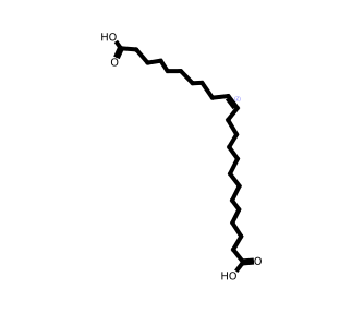 O=C(O)CCCCCCCC/C=C\CCCCCCCCCCCC(=O)O